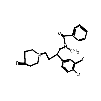 CN(CC(CCN1CCC(=O)CC1)c1ccc(Cl)c(Cl)c1)C(=O)c1ccccc1